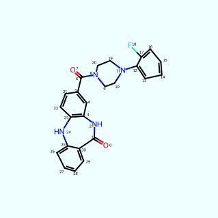 O=C1Nc2cc(C(=O)N3CCN(c4ccccc4F)CC3)ccc2Nc2ccccc21